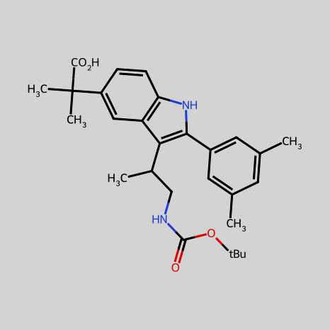 Cc1cc(C)cc(-c2[nH]c3ccc(C(C)(C)C(=O)O)cc3c2C(C)CNC(=O)OC(C)(C)C)c1